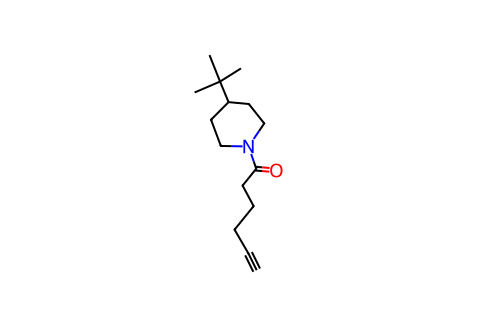 C#CCCCC(=O)N1CCC(C(C)(C)C)CC1